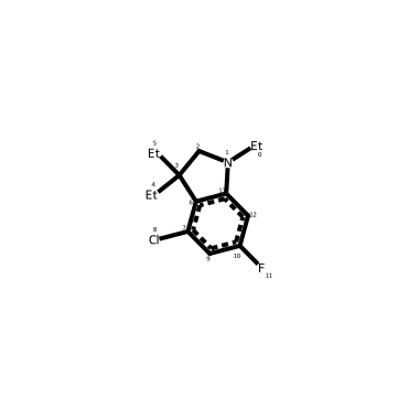 CCN1CC(CC)(CC)c2c(Cl)cc(F)cc21